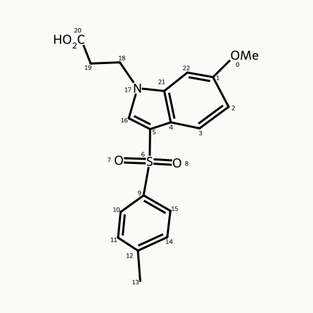 COc1ccc2c(S(=O)(=O)c3ccc(C)cc3)cn(CCC(=O)O)c2c1